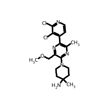 COCc1nc(-c2ccnc(Cl)c2Cl)c(C)nc1N1CCC(C)(N)CC1